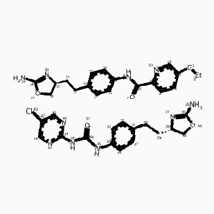 CCOc1ccc(C(=O)Nc2ccc(CC[C@H]3COC(N)=N3)cc2)nc1.NC1=N[C@@H](CCc2ccc(NC(=O)Nc3ncc(Cl)cn3)cc2)CO1